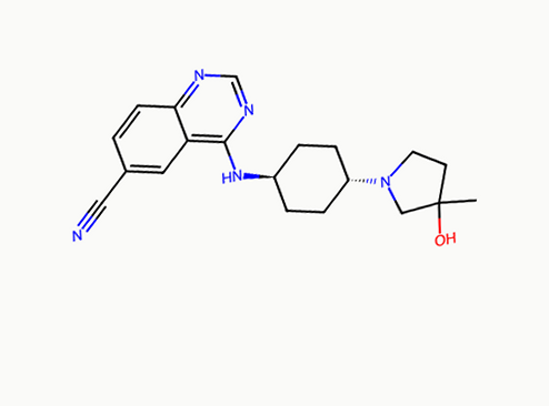 CC1(O)CCN([C@H]2CC[C@H](Nc3ncnc4ccc(C#N)cc34)CC2)C1